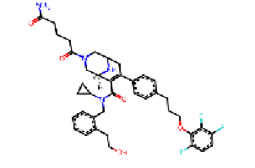 NC(=O)CCCC(=O)N1CC2CC(c3ccc(CCCOc4c(F)ccc(F)c4F)cc3)=C(C(=O)N(Cc3ccccc3CCO)C3CC3)[C@@H](C1)N2